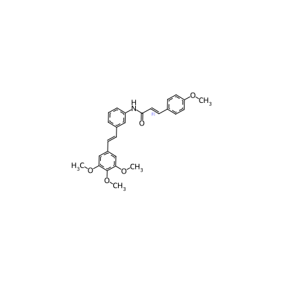 COc1ccc(/C=C/C(=O)Nc2cccc(C=Cc3cc(OC)c(OC)c(OC)c3)c2)cc1